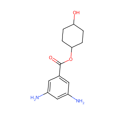 Nc1cc(N)cc(C(=O)OC2CCC(O)CC2)c1